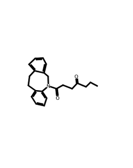 CCCC(=O)CCC(=O)N1Cc2ccccc2CCc2ccccc21